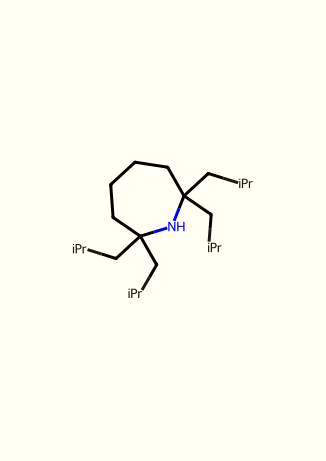 CC(C)CC1(CC(C)C)CCCCC(CC(C)C)(CC(C)C)N1